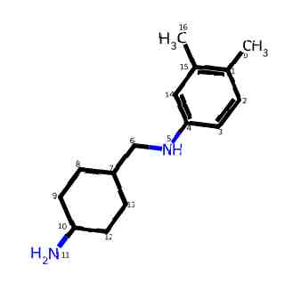 Cc1ccc(NCC2CCC(N)CC2)cc1C